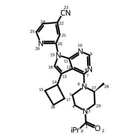 CC(C)C(=O)N1CCN(c2ncnc3c2c(C2CCC2)cn3-c2cc(C#N)ccn2)[C@@H](C)C1